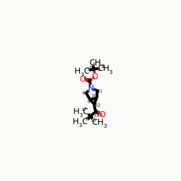 CC(C)(C)OC(=O)N1CC2C(C1)C2C(=O)C(C)(C)C